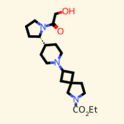 CCOC(=O)N1CCC2(CC(N3CCC([C@@H]4CCCN4C(=O)CO)CC3)C2)C1